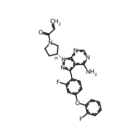 C=CC(=O)N1CC[C@@H](n2nc(-c3ccc(Oc4ccccc4F)cc3F)c3c(N)ncnc32)C1